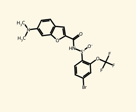 CN(C)c1ccc2cc(C(=O)N[S+]([O-])c3ccc(Br)cc3OC(F)(F)F)oc2c1